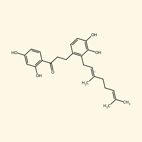 CC(C)=CCC/C(C)=C/Cc1c(CCC(=O)c2ccc(O)cc2O)ccc(O)c1O